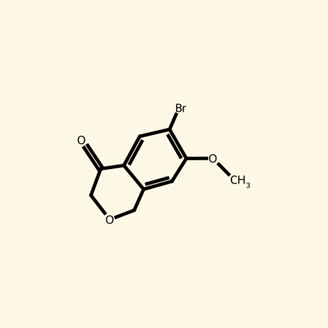 COc1cc2c(cc1Br)C(=O)COC2